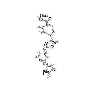 CC(C)(C)OC(=O)N1CCC(c2noc(-c3ccnc(-c4cocn4)c3)n2)CC1